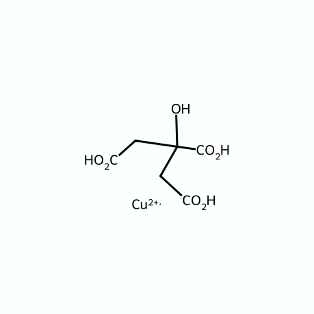 O=C(O)CC(O)(CC(=O)O)C(=O)O.[Cu+2]